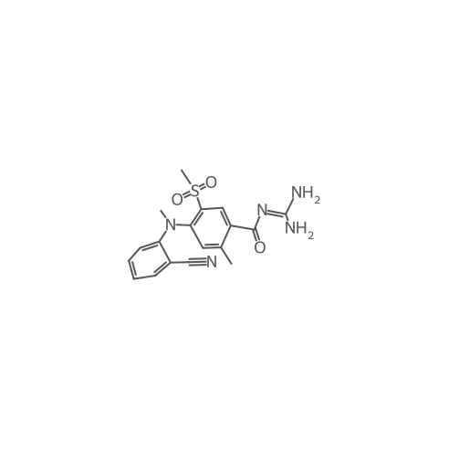 Cc1cc(N(C)c2ccccc2C#N)c(S(C)(=O)=O)cc1C(=O)N=C(N)N